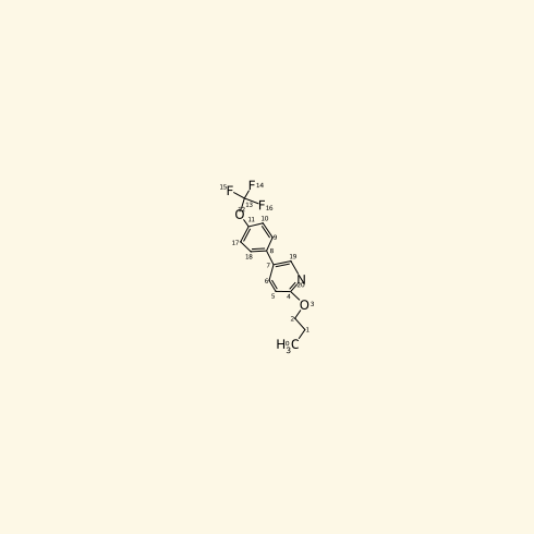 CCCOc1ccc(-c2ccc(OC(F)(F)F)cc2)cn1